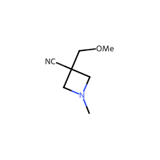 COCC1(C#N)CN(C)C1